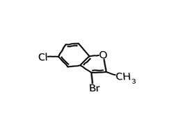 Cc1oc2ccc(Cl)cc2c1Br